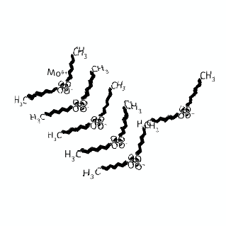 CCCCCCCCOP(=O)([O-])OCCCCCCCC.CCCCCCCCOP(=O)([O-])OCCCCCCCC.CCCCCCCCOP(=O)([O-])OCCCCCCCC.CCCCCCCCOP(=O)([O-])OCCCCCCCC.CCCCCCCCOP(=O)([O-])OCCCCCCCC.CCCCCCCCOP(=O)([O-])OCCCCCCCC.[Mo+6]